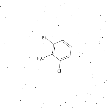 CCc1cccc(Cl)c1C(F)(F)F